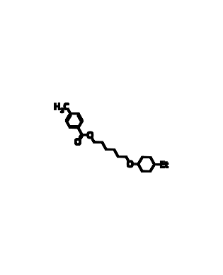 CCC1CCC(OCCCCCCOC(=O)c2ccc(C)cc2)CC1